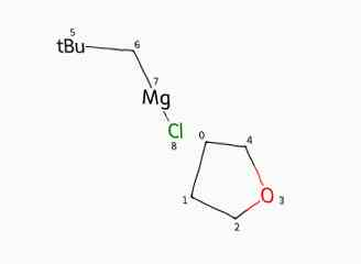 C1CCOC1.CC(C)(C)[CH2][Mg][Cl]